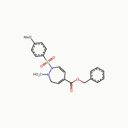 COc1ccc(S(=O)(=O)N2C=CC(C(=O)OCc3ccccc3)=CCN2C(=O)O)cc1